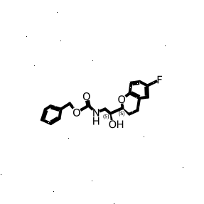 O=C(NC[C@H](O)[C@@H]1CCc2cc(F)ccc2O1)OCc1ccccc1